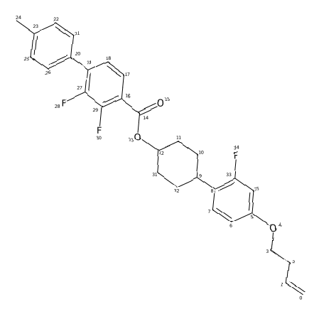 C=CCCOc1ccc(C2CCC(OC(=O)c3ccc(-c4ccc(C)cc4)c(F)c3F)CC2)c(F)c1